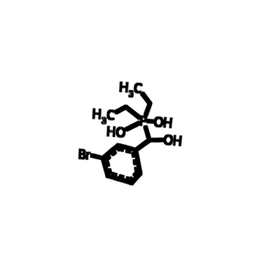 CCP(O)(O)(CC)C(O)c1cccc(Br)c1